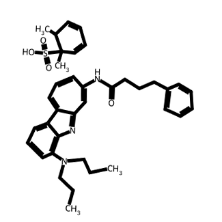 CC1C=CC=CC1(C)S(=O)(=O)O.CCCN(CCC)c1cccc2c3cccc(NC(=O)CCCc4ccccc4)cc-3nc12